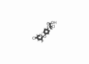 CC(Cl)(Oc1ccc(Oc2ncc(Cl)cc2F)cc1)C(=O)O